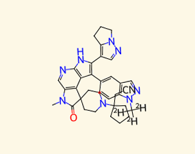 [2H]C([2H])([2H])n1ncc2cc(-c3c(-c4cnn5c4CCC5)[nH]c4ncc5c(c34)C3(CCN(C4(CC#N)CCCC4)CC3)C(=O)N5C)ccc21